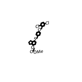 COC(=O)COc1ccc(SCc2ccc(OCc3cc(Cl)ccc3Cl)cc2)c2c1CCC2